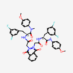 COc1ccc(N(C)C(=O)[C@H](Cc2cc(F)cc(F)c2)NC(=O)Cn2c(=O)c3ccccc3c(=O)n2CC(=O)N[C@@H](Cc2cc(F)cc(F)c2)C(=O)N(C)c2ccc(OC)cc2)cc1